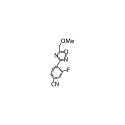 COCc1nc(-c2ccc(C#N)cc2F)no1